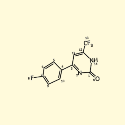 O=c1nc(-c2ccc(F)cc2)cc(C(F)(F)F)[nH]1